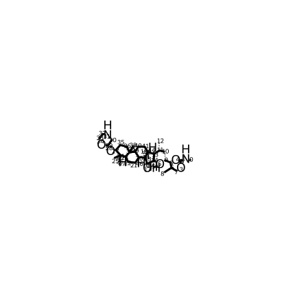 CNC(=O)O[C@H](C(C)C)[C@H]1C[C@@H](C)[C@H]2[C@H](O1)[C@H](O)[C@@]1(C)[C@@H]3CC[C@H]4C(C)(C)C(O[C@H]5CNCCO5)CCC45C[C@@]35CC[C@]21C